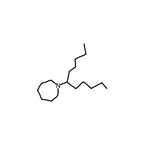 CCCCCC(CCCCC)N1CCCCCC1